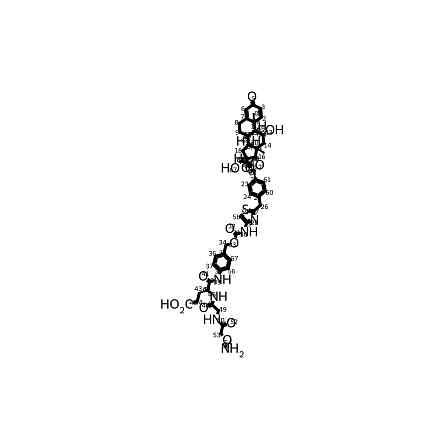 C[C@]12C=CC(=O)C=C1CC[C@@H]1[C@@H]2[C@@H](O)C[C@@]2(C)[C@H]1C[C@H]1O[C@H](c3ccc(Cc4nc(NC(=O)OCc5ccc(NC(=O)[C@H](CCC(=O)O)NC(=O)CNC(=O)CON)cc5)cs4)cc3)O[C@]12C(=O)CO